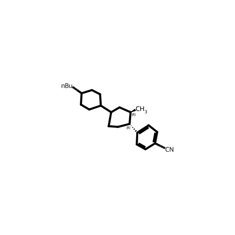 CCCCC1CCC(C2CC[C@@H](c3ccc(C#N)cc3)[C@H](C)C2)CC1